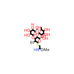 CCC1C(O[C@@H]2O[C@@H](CO)[C@H](O)C(O)C2O)[C@H](O[C@@H]2OC(C)[C@@H](O)C(O)[C@@H]2O)[C@H](CO)O[C@H]1SCC(=N)OC